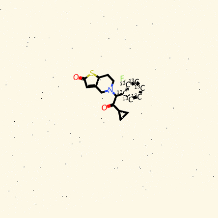 O=C1C=C2CN(C(C(=O)C3CC3)[13c]3[13cH][13cH][13cH][13cH][13c]3F)CCC2S1